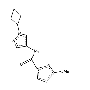 CSc1nc(C(=O)Nc2cnn(C3CCC3)c2)cs1